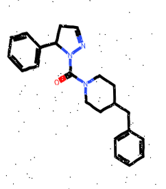 O=C(N1CCC(Cc2ccccc2)CC1)N1N=CCC1c1ccccc1